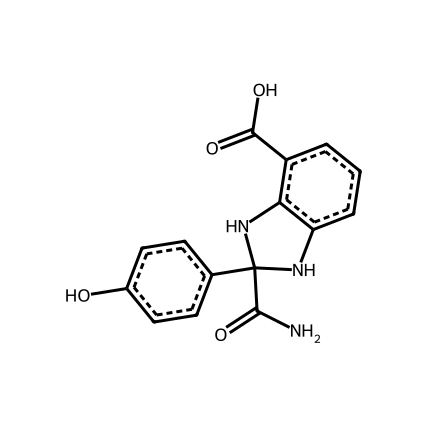 NC(=O)C1(c2ccc(O)cc2)Nc2cccc(C(=O)O)c2N1